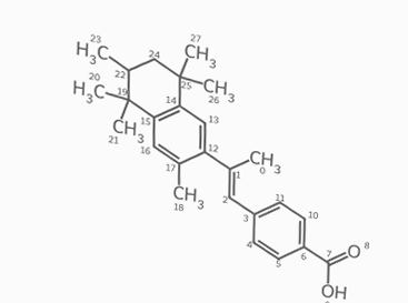 CC(=Cc1ccc(C(=O)O)cc1)c1cc2c(cc1C)C(C)(C)C(C)CC2(C)C